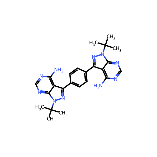 CC(C)(C)n1nc(-c2ccc(-c3nn(C(C)(C)C)c4ncnc(N)c34)cc2)c2c(N)ncnc21